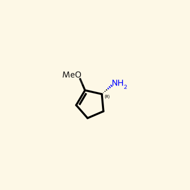 COC1=CCC[C@H]1N